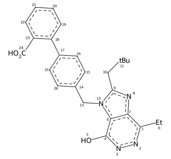 CCc1nnc(O)c2c1nc(CC(C)(C)C)n2Cc1ccc(-c2ccccc2C(=O)O)cc1